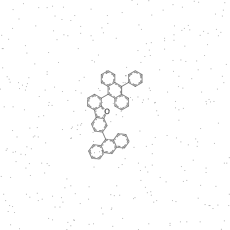 c1ccc(-c2c3ccccc3c(-c3cccc4c3oc3cc(-c5c6ccccc6cc6ccccc56)ccc34)c3ccccc23)cc1